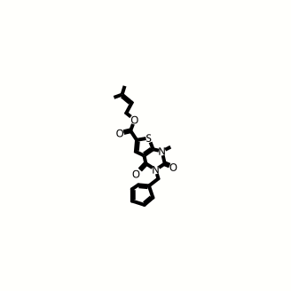 CC(C)=CCOC(=O)c1cc2c(=O)n(Cc3ccccc3)c(=O)n(C)c2s1